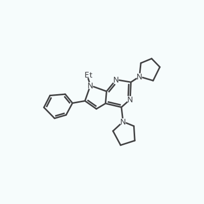 [CH2]Cn1c(-c2ccccc2)cc2c(N3CCCC3)nc(N3CCCC3)nc21